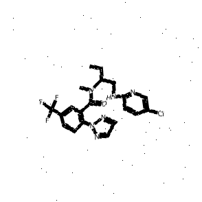 CCC(CNc1ccc(Cl)cn1)N(C)C(=O)c1cc(C(F)(F)F)ccc1-n1nccn1